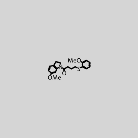 COc1ccc2c(c1)N(C(=O)CCCSc1ccccc1OC)CC2